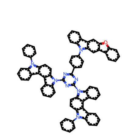 c1ccc(-n2c3ccccc3c3c4c5ccccc5n(-c5nc(-c6ccc(-n7c8ccccc8c8cc9oc%10ccccc%10c9cc87)cc6)nc(-n6c7ccccc7c7c8c9ccccc9n(-c9ccccc9)c8ccc76)n5)c4ccc32)cc1